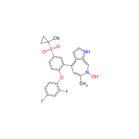 CC1=CC(c2cc(S(=O)(=O)C3(C#N)CC3)ccc2Oc2ccc(F)cc2F)=c2cc[nH]c2=CN1O